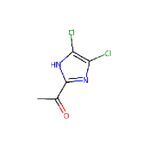 CC(=O)c1nc(Cl)c(Cl)[nH]1